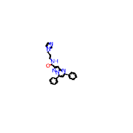 O=C(NCCCn1ccnc1)c1cc2nc(-c3ccccc3)cc(-c3ccccc3)n2n1